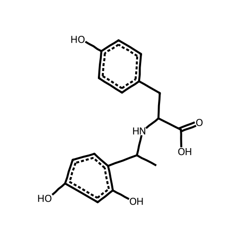 CC(NC(Cc1ccc(O)cc1)C(=O)O)c1ccc(O)cc1O